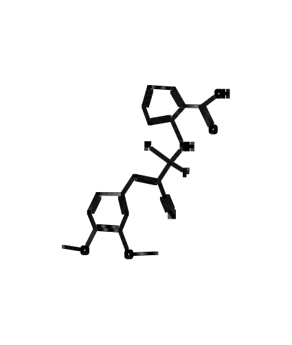 COc1ccc(/C=C(\C#N)C(F)(F)Nc2ccccc2C(=O)O)cc1OC